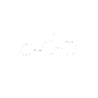 C=C(OC(=O)c1ccccc1)C(OC)c1ccccc1